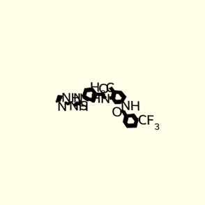 Cc1ccc(NC(=O)c2cccc(C(F)(F)F)c2)cc1NC(=O)c1ccc2nc(Nc3ncc[nH]3)sc2c1